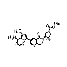 Cc1cc(-c2cnc3c(c2)C(=O)N([C@H]2CN(C(=O)OC(C)(C)C)C[C@H]2F)CC3)n2ncnc(N)c12